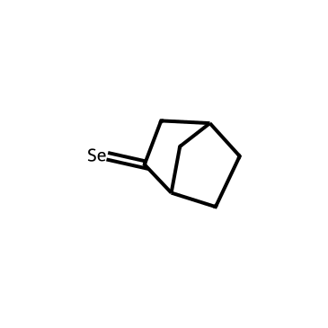 [Se]=C1CC2CCC1C2